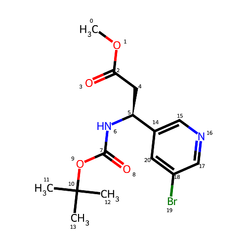 COC(=O)C[C@H](NC(=O)OC(C)(C)C)c1cncc(Br)c1